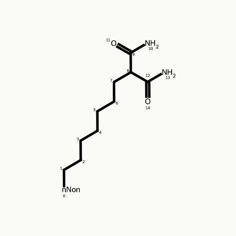 CCCCCCCCCCCCCCCCC(C(N)=O)C(N)=O